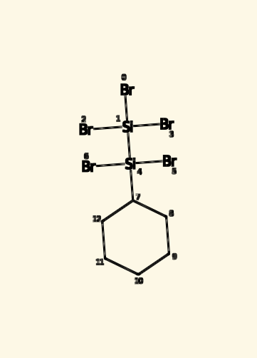 Br[Si](Br)(Br)[Si](Br)(Br)C1CCCCC1